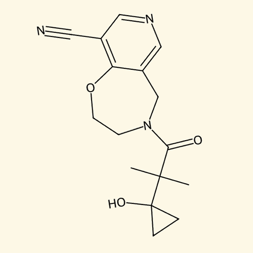 CC(C)(C(=O)N1CCOc2c(C#N)cncc2C1)C1(O)CC1